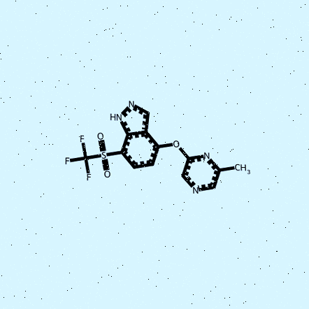 Cc1cncc(Oc2ccc(S(=O)(=O)C(F)(F)F)c3[nH]ncc23)n1